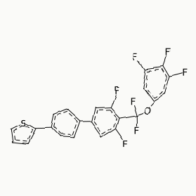 Fc1cc(OC(F)(F)c2c(F)cc(-c3ccc(-c4cccs4)cc3)cc2F)cc(F)c1F